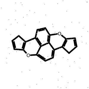 C1=CC2=C(C1)c1ccc3c4c(ccc(c14)O2)C1=C(C=CC1)O3